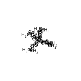 CN(C)c1ccc(CC(=O)OCC(COC(=O)Cc2ccc(N(C)C)cc2)(COC(=O)Cc2ccc(N(C)C)cc2)COC(=O)Cc2ccc(N(C)C)cc2)cc1